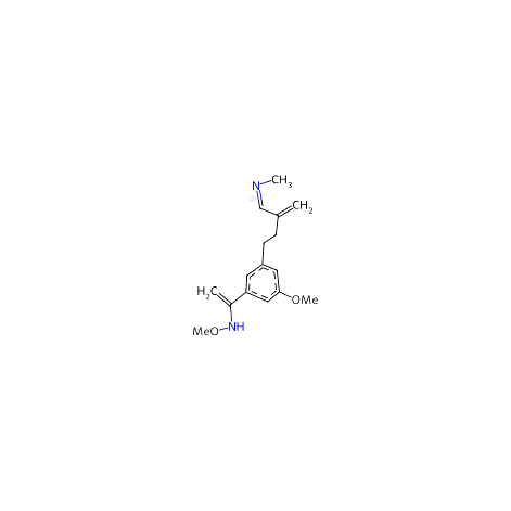 C=C(/C=N\C)CCc1cc(OC)cc(C(=C)NOC)c1